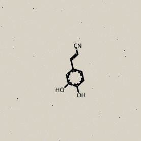 N#C/C=C/c1ccc(O)c(O)c1